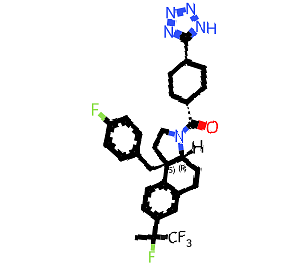 CC(F)(c1ccc2c(c1)CC[C@H]1N(C(=O)[C@H]3CC[C@H](c4nnn[nH]4)CC3)CC[C@@]21Cc1ccc(F)cc1)C(F)(F)F